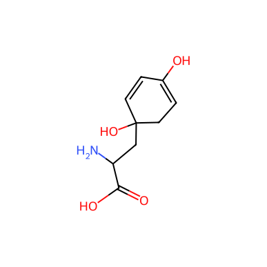 NC(CC1(O)C=CC(O)=CC1)C(=O)O